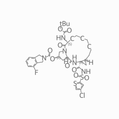 CC(C)(C)OC(=O)N[C@H]1CCCCCCC[C@@H]2C[C@@]2(C(=O)NS(=O)(=O)c2cc(Cl)cs2)NC(=O)[C@@H]2C[C@@H](OC(=O)N3Cc4cccc(F)c4C3)CN2C1=O